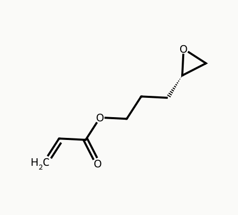 C=CC(=O)OCCC[C@H]1CO1